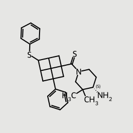 CC1(C)CN(C(=S)C23CC4C(Sc5ccccc5)C5CC(c6ccccc6)(C2)C453)CC[C@@H]1N